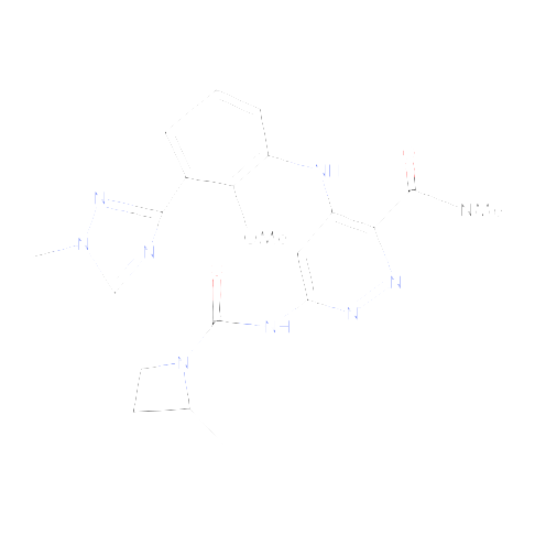 CNC(=O)c1nnc(NC(=O)N2CCC2C)cc1Nc1cccc(-c2ncn(C)n2)c1OC